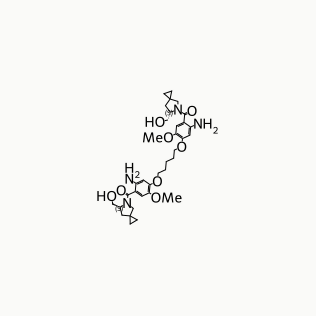 COc1cc(C(=O)N2CC3(CC3)C[C@H]2CO)c(N)cc1OCCCCCOc1cc(N)c(C(=O)N2CC3(CC3)C[C@H]2CO)cc1OC